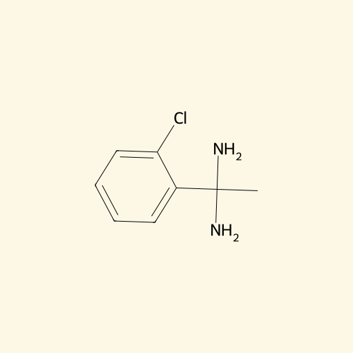 CC(N)(N)c1ccccc1Cl